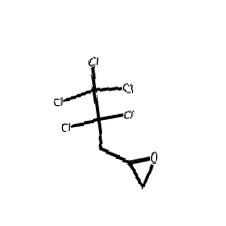 ClC(Cl)(Cl)C(Cl)(Cl)CC1CO1